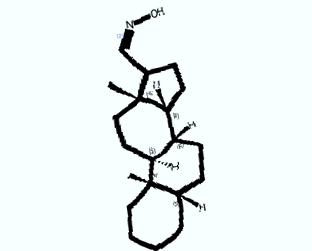 C[C@]12CCCC[C@H]1CC[C@H]1[C@H]3CCC(/C=N\O)[C@@]3(C)CC[C@@H]12